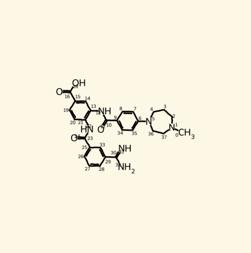 CN1CCCN(c2ccc(C(=O)Nc3cc(C(=O)O)ccc3NC(=O)c3cccc(C(=N)N)c3)cc2)CC1